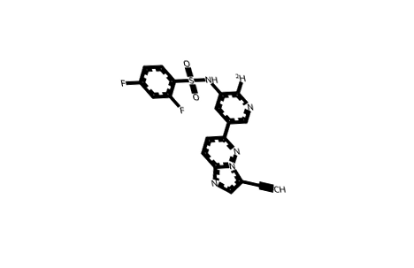 [2H]c1ncc(-c2ccc3ncc(C#C)n3n2)cc1NS(=O)(=O)c1ccc(F)cc1F